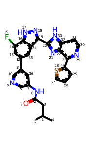 CC(C)CC(=O)Nc1cncc(-c2cc(F)c3[nH]nc(-c4nc5c(-c6cccs6)nccc5[nH]4)c3c2)c1